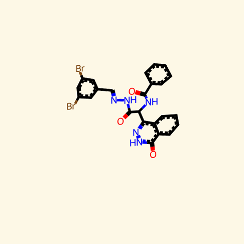 O=C(NC(C(=O)N/N=C/c1cc(Br)cc(Br)c1)c1n[nH]c(=O)c2ccccc12)c1ccccc1